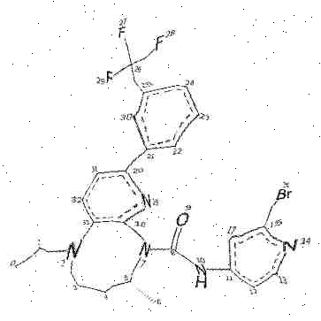 CCN1CC[C@@H](C)N(C(=O)Nc2ccnc(Br)c2)c2nc(-c3cccc(C(F)(F)F)c3)ccc21